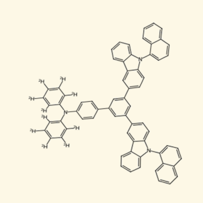 [2H]c1c([2H])c([2H])c(N(c2ccc(-c3cc(-c4ccc5c(c4)c4ccccc4n5-c4cccc5ccccc45)cc(-c4ccc5c(c4)c4ccccc4n5-c4cccc5ccccc45)c3)cc2)c2c([2H])c([2H])c([2H])c([2H])c2[2H])c([2H])c1[2H]